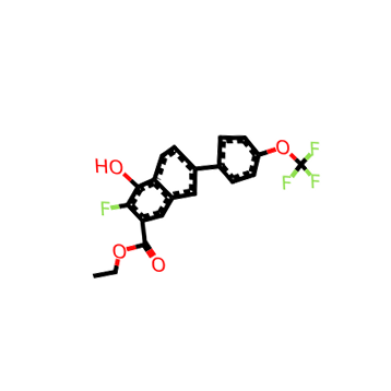 CCOC(=O)c1cc2cc(-c3ccc(OC(F)(F)F)cc3)ccc2c(O)c1F